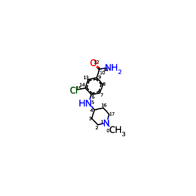 CN1CCC(Nc2ccc(C(N)=O)cc2Cl)CC1